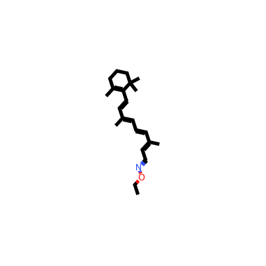 CCON=CC=C(C)C=CC=C(C)C=CC1=C(C)CCCC1(C)C